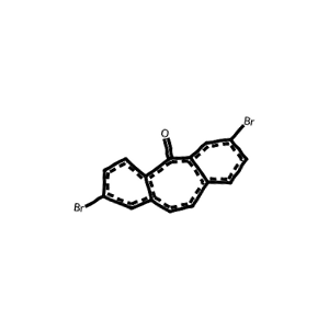 O=c1c2ccc(Br)cc2ccc2ccc(Br)cc12